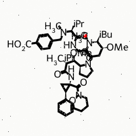 CC[C@H](C)[C@@H]([C@@H](CC(=O)N1CCC[C@H]1[C@H](OC)[C@@H](C)C(=O)N[C@@]1(C(=O)N2CCCCO2)C[C@@H]1c1ccccc1)OC)N(C)C(=O)[C@@H](NC(=O)[C@H](C(C)C)N(C)Cc1ccc(C(=O)O)cc1)C(C)C